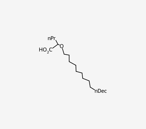 CCCCCCCCCCCCCCCCCCCOC(CCC)C(=O)O